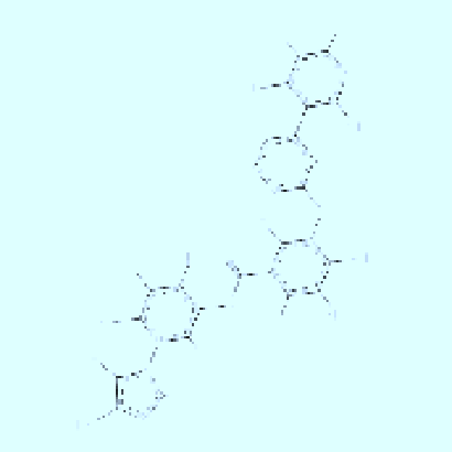 [2H]c1nc([2H])c(-c2ccnc(Nc3c([2H])c(C(=O)Nc4c([2H])c(C)c([2H])c(-n5c([2H])cc(C)c5[2H])c4[2H])c([2H])c([2H])c3C)n2)c([2H])c1[2H]